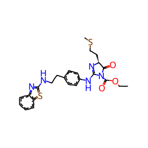 CCOC(=O)N1C(=O)[C@H](CCSC)N=C1Nc1ccc(CCNc2nc3ccccc3s2)cc1